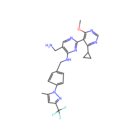 COc1ncnc(C2CC2)c1-c1ncc(CN)c(NCc2ccc(-n3nc(C(F)(F)F)cc3C)cc2)n1